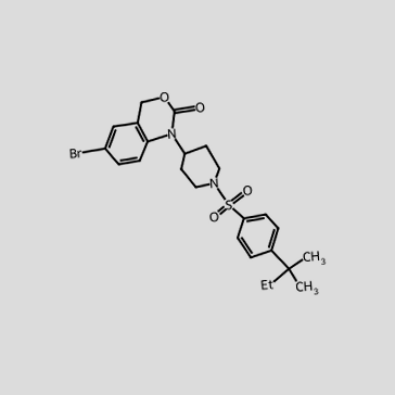 CCC(C)(C)c1ccc(S(=O)(=O)N2CCC(N3C(=O)OCc4cc(Br)ccc43)CC2)cc1